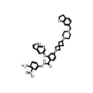 Nc1ccc(SNC(=O)c2ccc(N3CC4(CC(N5CCN(Cc6ccc7c(c6)OCC7)CC5)C4)C3)cc2Oc2cnc3[nH]ccc3c2)cc1[N+](=O)[O-]